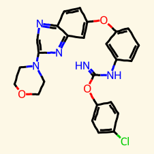 N=C(Nc1cccc(Oc2ccc3ncc(N4CCOCC4)nc3c2)c1)Oc1ccc(Cl)cc1